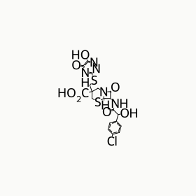 O=C(NC1C(=O)N2CC(CSc3nnc(O)c(=O)[nH]3)(C(=O)O)CS[C@H]12)C(O)c1ccc(Cl)cc1